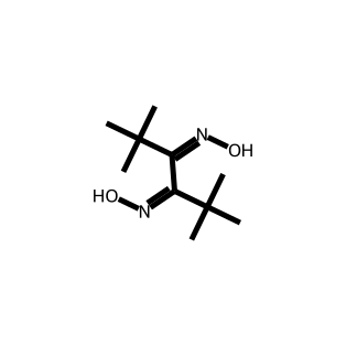 CC(C)(C)C(=N/O)/C(=N\O)C(C)(C)C